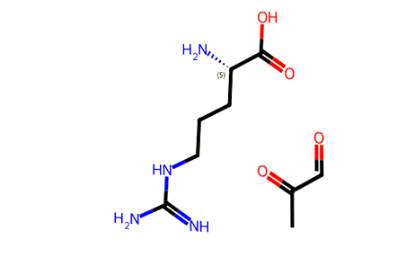 CC(=O)C=O.N=C(N)NCCC[C@H](N)C(=O)O